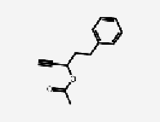 C#CC(CCc1ccccc1)OC(C)=O